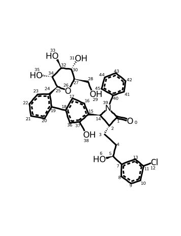 O=C1[C@H](CC[C@H](O)c2cccc(Cl)c2)[C@@H](c2ccc(-c3ccccc3[C@@H]3O[C@H](CO)[C@@H](O)[C@H](O)[C@H]3O)cc2O)N1c1ccccc1